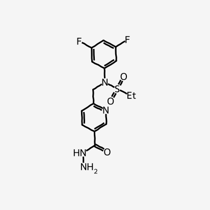 CCS(=O)(=O)N(Cc1ccc(C(=O)NN)cn1)c1cc(F)cc(F)c1